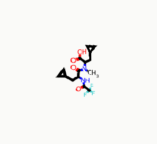 CN(C(=O)C(CC1CC1)NC(=O)C(F)(F)F)C(CC1CC1)C(=O)O